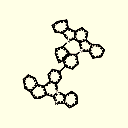 c1ccc(-n2c3ccccc3c3ccc4c5ccccc5n(-c5ccc(-c6ccc7c8c9ccccc9ccc8c8nc9ccccc9n8c7c6)cc5)c4c32)cc1